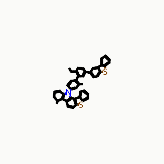 CCc1ccc(-c2ccc3sc4ccccc4c3c2)cc1-c1ccc(-n2c3c(c4ccc5sc6ccccc6c5c42)C(C)CC=C3)cc1C